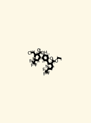 CCOC(=O)c1ccc(C(F)(F)F)nc1-c1ccccc1.O=C(O)c1ccc(C(F)(F)F)nc1CCl